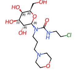 O=C(NCCCl)N(CCCN1CCOCC1)[C@@H]1O[C@H](CO)[C@H](O)[C@H](O)[C@H]1O